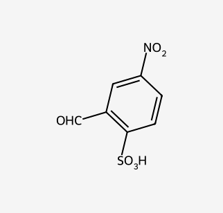 O=Cc1cc([N+](=O)[O-])ccc1S(=O)(=O)O